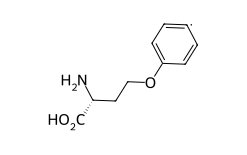 N[C@H](CCOc1cc[c]cc1)C(=O)O